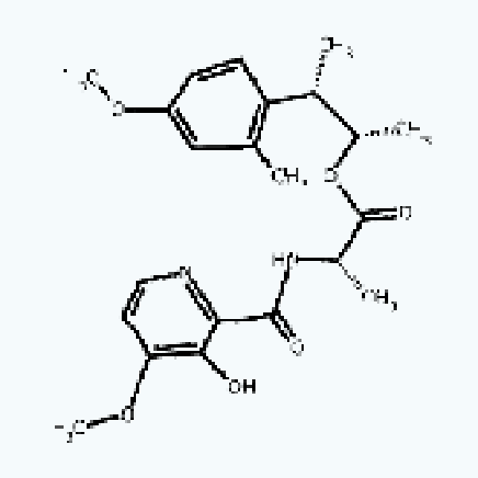 COc1ccc([C@H](C)[C@H](C)OC(=O)[C@H](C)NC(=O)c2nccc(OC)c2O)c(C)c1